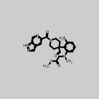 Bc1cccc(N(C)CC(=O)OC)c1C1(C=O)CCN(C(=O)c2cc3cn[nH]c3cn2)CC1